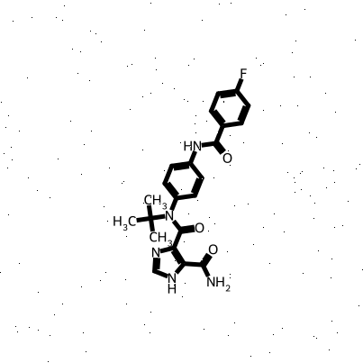 CC(C)(C)N(C(=O)c1nc[nH]c1C(N)=O)c1ccc(NC(=O)c2ccc(F)cc2)cc1